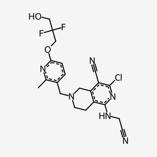 Cc1nc(OCC(F)(F)CO)ccc1CN1CCc2c(NCC#N)nc(Cl)c(C#N)c2C1